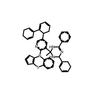 CC1(c2cc(C3CC=CC=C3C3=CCCC=C3)cnc2N2C3=C(C=C=C3)Sc3ccccc32)NC(c2ccccc2)=NC(C2=CC=CCC2)N1